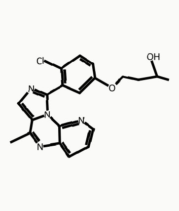 Cc1nc2cccnc2n2c(-c3cc(OCCC(C)O)ccc3Cl)ncc12